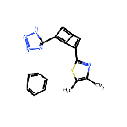 Cc1nc(-c2cc3cc(-c4nnn[nH]4)c2-3)sc1C.[c]1ccccc1